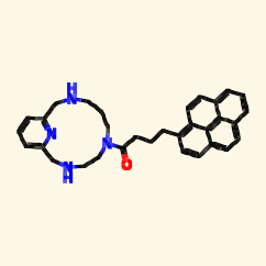 O=C(CCCc1ccc2ccc3cccc4ccc1c2c34)N1CCCNCc2cccc(n2)CNCC1